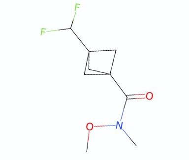 CON(C)C(=O)C12CC(C(F)F)(C1)C2